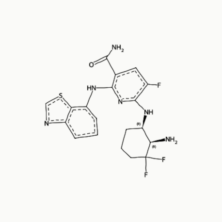 NC(=O)c1cc(F)c(N[C@@H]2CCCC(F)(F)[C@@H]2N)nc1Nc1cccc2ncsc12